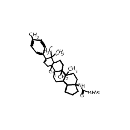 CNC(=O)NC12CCCC1C1CCC3C4(C)CC=C(c5ccc(C)cc5)C(C)(C)C4CCC3(C)[C@]1(C)CC2